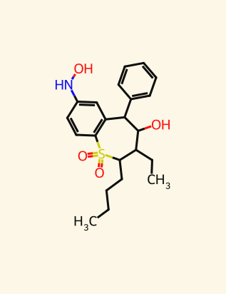 CCCCC1C(CC)C(O)C(c2ccccc2)c2cc(NO)ccc2S1(=O)=O